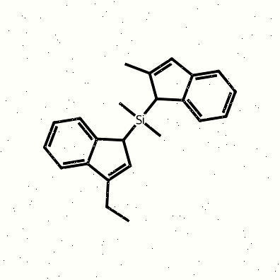 CCC1=CC([Si](C)(C)C2C(C)=Cc3ccccc32)c2ccccc21